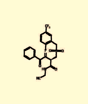 N#CCNC(=O)[C@H](CS(=O)(=O)Cc1cc(C(F)(F)F)ccc1F)NC(=O)c1ccccc1